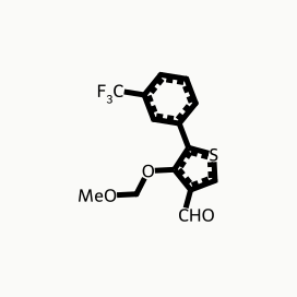 COCOc1c(C=O)csc1-c1cccc(C(F)(F)F)c1